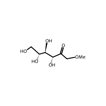 COCC(=O)[C@H](O)[C@H](O)[C@H](O)CO